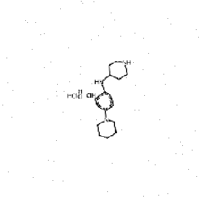 Cl.Cl.Cl.c1cc(N2CCCCC2)ccc1NC1CCNCC1